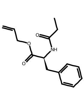 C=CCOC(=O)[C@H](Cc1ccccc1)NC(=O)CC